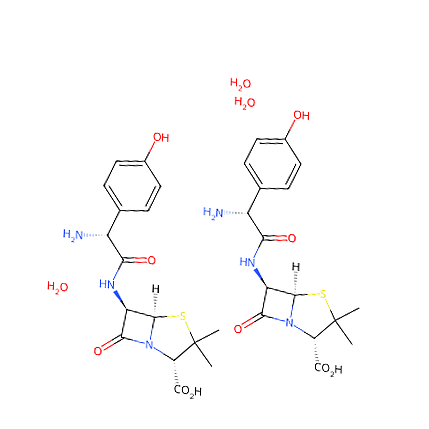 CC1(C)S[C@@H]2[C@H](NC(=O)[C@H](N)c3ccc(O)cc3)C(=O)N2[C@H]1C(=O)O.CC1(C)S[C@@H]2[C@H](NC(=O)[C@H](N)c3ccc(O)cc3)C(=O)N2[C@H]1C(=O)O.O.O.O